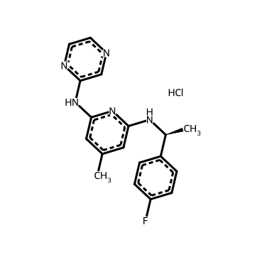 Cc1cc(Nc2cnccn2)nc(N[C@@H](C)c2ccc(F)cc2)c1.Cl